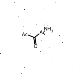 CC(=O)C(=O)C(C)=O.N